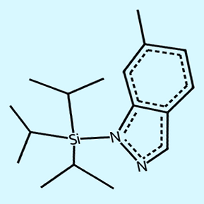 Cc1ccc2cnn([Si](C(C)C)(C(C)C)C(C)C)c2c1